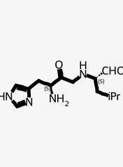 CC(C)C[C@@H](C=O)NCC(=O)[C@@H](N)Cc1c[nH]cn1